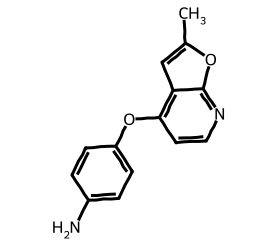 Cc1cc2c(Oc3ccc(N)cc3)ccnc2o1